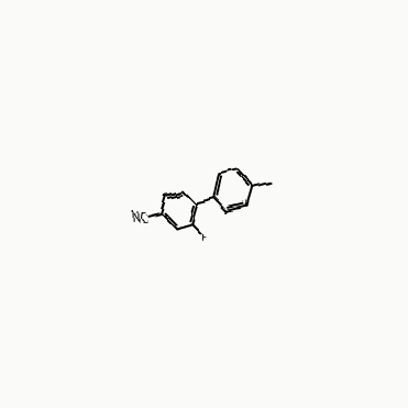 Cc1ccc(-c2ccc(C#N)cc2F)cc1